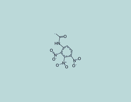 [CH2]C(=O)Nc1ccc([N+](=O)[O-])c([N+](=O)[O-])c1[N+](=O)[O-]